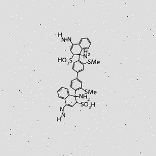 [H]/N=N/C1=CC(S(=O)(=O)O)C(N)(c2ccc(-c3ccc(C4(N)c5ccccc5C(/N=N/[H])=CC4S(=O)(=O)O)c(SC)c3)cc2SC)c2ccccc21